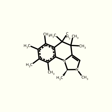 Cc1c(C)c(C)c2c(c1C)N1C(=CN(C)[C@H]1C)C(C)(C)C2(C)C